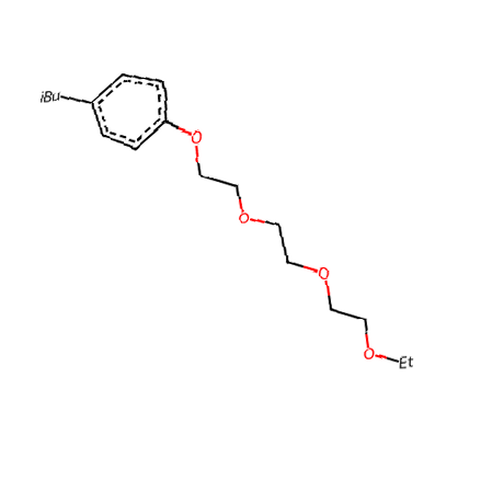 CCOCCOCCOCCOc1ccc(C(C)CC)cc1